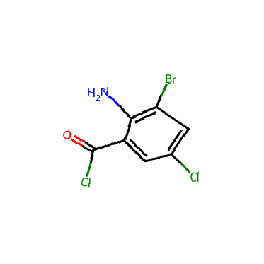 Nc1c(Br)cc(Cl)cc1C(=O)Cl